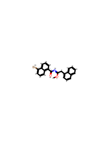 COC(Cc1cccc2ccccc12)=NC(=O)c1cccc2c(Br)cccc12